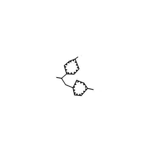 Cc1ccc(CC(C)c2ccc(O)cc2)cc1